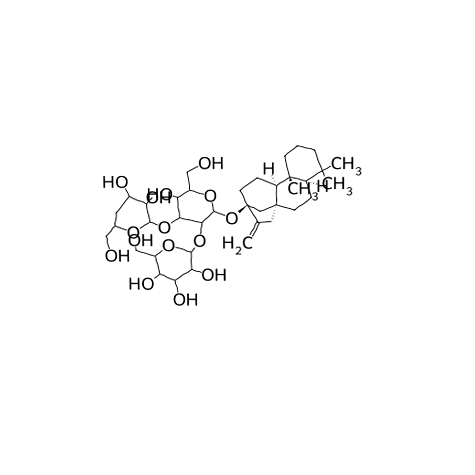 C=C1C[C@@]23CC[C@@H]4C(C)(C)CCC[C@@]4(C)[C@@H]2CC[C@]1(OC1OC(CO)C(O)C(OC2OC(CO)CC(O)C2O)C1OC1OC(CO)C(O)C(O)C1O)C3